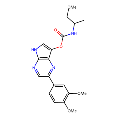 COCC(C)NC(=O)Oc1c[nH]c2ncc(-c3ccc(OC)c(OC)c3)nc12